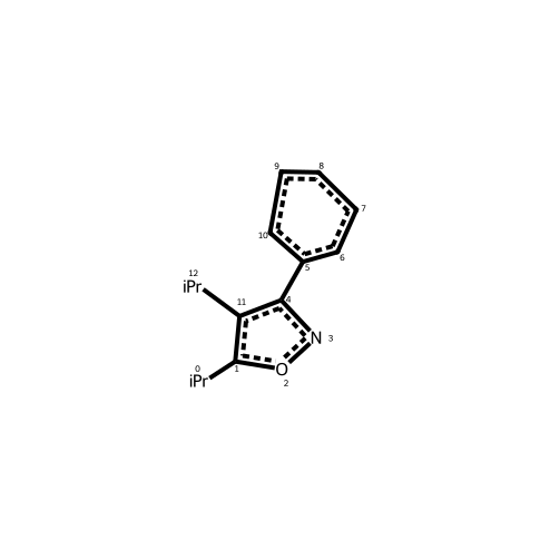 CC(C)c1onc(-c2ccccc2)c1C(C)C